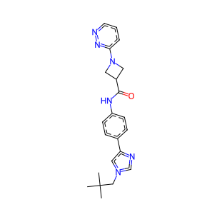 CC(C)(C)Cn1cnc(-c2ccc(NC(=O)C3CN(c4cccnn4)C3)cc2)c1